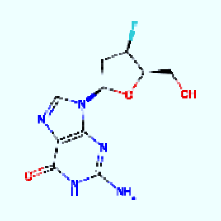 Nc1nc2c(ncn2[C@H]2C[C@@H](F)[C@@H](CO)O2)c(=O)[nH]1